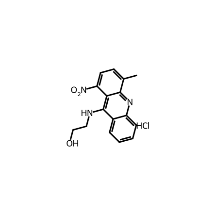 Cc1ccc([N+](=O)[O-])c2c(NCCO)c3ccccc3nc12.Cl